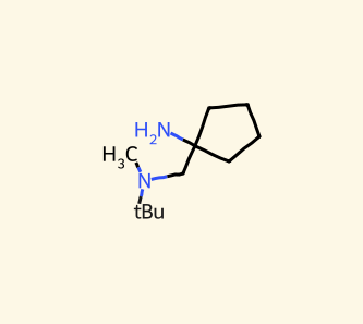 CN(CC1(N)CCCC1)C(C)(C)C